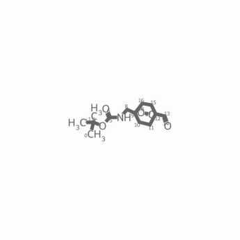 CC(C)(C)OC(=O)NCC12CCC(C=O)(CC1)CO2